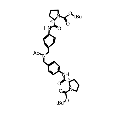 CC(=O)N(Cc1ccc(NC(=O)[C@@H]2CCCN2C(=O)OC(C)(C)C)cc1)Cc1ccc(NC(=O)[C@@H]2CCCN2C(=O)OC(C)(C)C)cc1